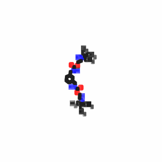 CC(C)(C)NCCOC(=O)NCC1CCCC(CNC(=O)OCCNC(C)(C)C)C1